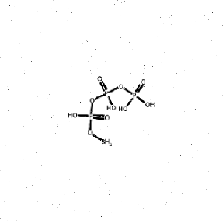 BOP(=O)(O)OP(=O)(O)OP(=O)(O)O